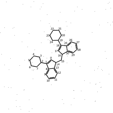 C1=C(C2CCCCC2)c2ccccc2C1CC1C=C(C2CCCCC2)c2ccccc21